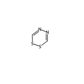 C1=NN=CSS1